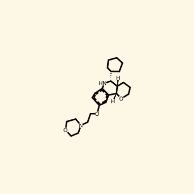 c1cc2c(cc1OCCN1CCOCC1)[C@H]1OCCC[C@H]1[C@@H](C1CCCCC1)N2